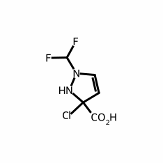 O=C(O)C1(Cl)C=CN(C(F)F)N1